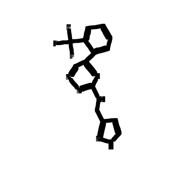 FC(F)(F)c1ccccc1-c1cnnc(NCc2cc[nH]n2)n1